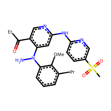 CCC(=O)c1cnc(Nc2ccc(S(C)(=O)=O)cn2)cc1N(N)c1cccc(C(C)C)c1OC